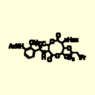 CCCCCCC1C(=O)OC(C)C(NC(=O)c2cccc(NC(C)=O)c2O)C(=O)OC(C)C1OC(=O)CC(C)C